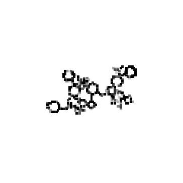 CN(C)[C@]1(c2ccccc2)CC[C@]2(CC1)CN(CC1CCS(=O)(=O)CC1C1CCC1(O)CN1C(=O)N(CC3CCSCC3)C[C@]13CC[C@](c1ccccc1)(N(C)C)CC3)C(=O)N2CC1(O)CCC1